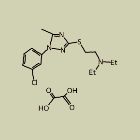 CCN(CC)CCSc1nc(C)n(-c2cccc(Cl)c2)n1.O=C(O)C(=O)O